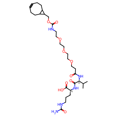 CC(C)[C@H](NC(=O)CCOCCOCCOCCNC(=O)OCC1C2CCC#CCCC21)C(=O)N[C@@H](CCCNC(N)=O)C(=O)O